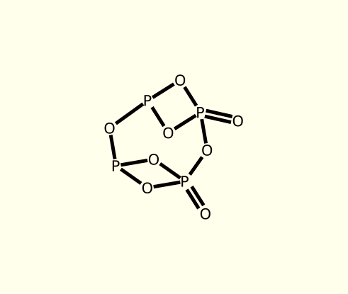 O=P12OP(OP3OP(=O)(O3)O1)O2